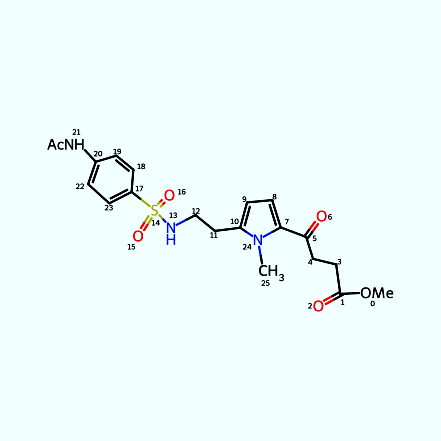 COC(=O)CCC(=O)c1ccc(CCNS(=O)(=O)c2ccc(NC(C)=O)cc2)n1C